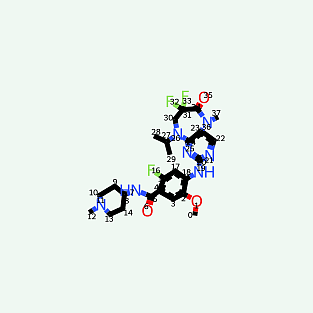 COc1cc(C(=O)NC2CCN(C)CC2)c(F)cc1Nc1ncc2c(n1)N(C(C)C)CC(F)(F)C(=O)N2C